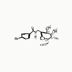 O=C(NCC1O[C@@H](CO)[C@@H](O)[C@H](O)[C@@H]1O)c1ccc(Br)cc1